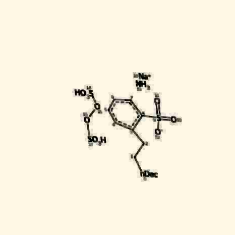 CCCCCCCCCCCCc1ccccc1S(=O)(=O)[O-].N.O=S(=O)(O)OOS(=O)(=O)O.[Na+]